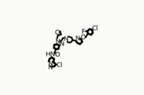 O=C(Nc1ccn2ncc(Cl)c2c1)c1ccc2c(c1)nc(CN1CCC(c3cccc(OCc4ccc(Cl)cc4F)n3)CC1)n2CC1CCO1